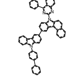 c1ccc(-c2ccc(-n3c4ccccc4c4cc(-c5ccc6c(c5)c5c7ccccc7ccc5n6-c5nc(-c6ccccc6)c6ccccc6n5)ccc43)cc2)cc1